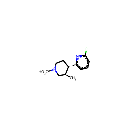 C[C@H]1CN(C(=O)O)CC[C@@H]1c1cccc(Cl)n1